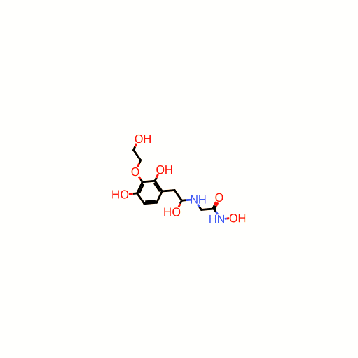 O=C(CNC(O)Cc1ccc(O)c(OCCO)c1O)NO